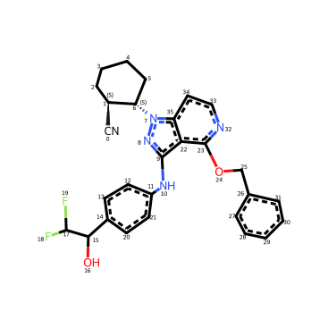 N#C[C@H]1CCCC[C@@H]1n1nc(Nc2ccc(C(O)C(F)F)cc2)c2c(OCc3ccccc3)nccc21